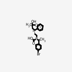 C[C@@H](c1ccc(Br)cc1)N(CC[C@H](CC(C)(C)O)c1ccccc1)C(=O)O